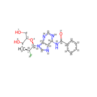 C[C@H](F)[C@@H](OC(CO)CO)n1cnc2c(NC(=O)c3ccccc3)ncnc21